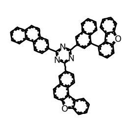 c1ccc2c(-c3cccc4oc5ccccc5c34)cc(-c3nc(-c4ccc5c(ccc6ccccc65)c4)nc(-c4ccc5c(ccc6oc7ccccc7c65)c4)n3)cc2c1